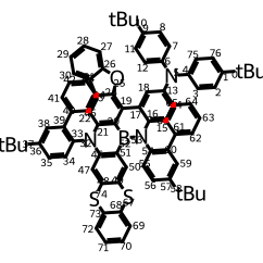 CC(C)(C)c1ccc(N(c2ccc(C(C)(C)C)cc2)c2ccc3c(c2)-c2c4c(cc5c2oc2ccccc25)N(c2ccc(C(C)(C)C)cc2-c2ccccc2)c2cc5c(cc2B4N3c2ccc(C(C)(C)C)cc2-c2ccccc2)Sc2ccccc2S5)cc1